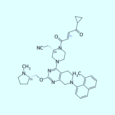 Cc1cccc2cccc(N3CCc4c(nc(OC[C@@H]5CCCN5C)nc4N4CCN(C(=O)/C=C/C(=O)C5CC5)[C@@H](CC#N)C4)C3)c12